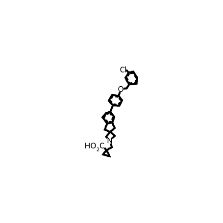 O=C(O)C1(CN2CC3(Cc4ccc(-c5ccc(OCc6cccc(Cl)c6)cc5)cc4C3)C2)CC1